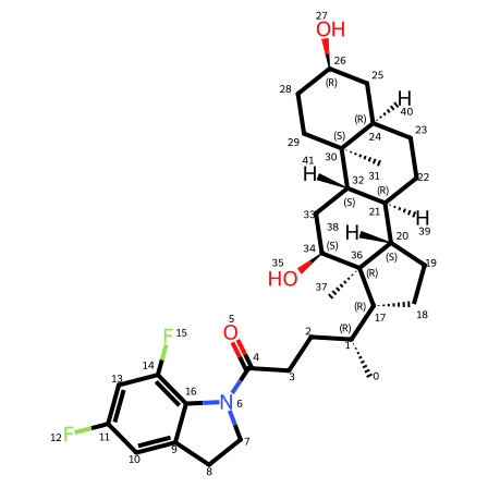 C[C@H](CCC(=O)N1CCc2cc(F)cc(F)c21)[C@H]1CC[C@H]2[C@@H]3CC[C@@H]4C[C@H](O)CC[C@]4(C)[C@H]3C[C@H](O)[C@]12C